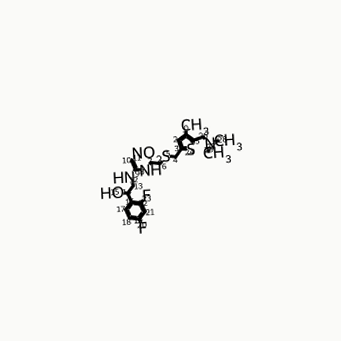 Cc1cc(CSCCNC(=C[N+](=O)[O-])NCC(O)c2ccc(F)cc2F)sc1CN(C)C